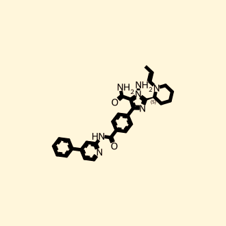 CC=CN1CCCC[C@H]1c1nc(-c2ccc(C(=O)Nc3cc(-c4ccccc4)ccn3)cc2)c(C(N)=O)n1N